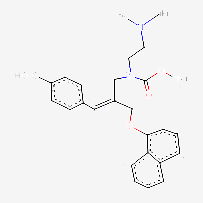 CC(C)N(CCN(C/C(=C\c1ccc(C(=O)O)cc1)COc1cccc2ccccc12)C(=O)OC(C)(C)C)C(C)C